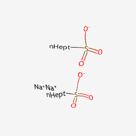 CCCCCCCS(=O)(=O)[O-].CCCCCCCS(=O)(=O)[O-].[Na+].[Na+]